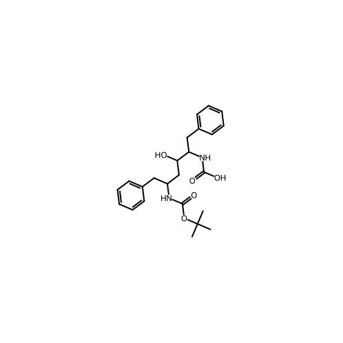 CC(C)(C)OC(=O)NC(Cc1ccccc1)CC(O)C(Cc1ccccc1)NC(=O)O